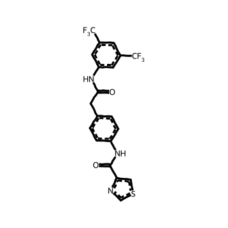 O=C(Cc1ccc(NC(=O)c2cscn2)cc1)Nc1cc(C(F)(F)F)cc(C(F)(F)F)c1